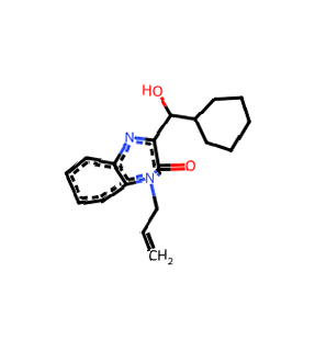 C=CCn1c(=O)c(C(O)C2CCCCC2)nc2ccccc21